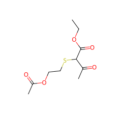 CCOC(=O)C(SCCOC(C)=O)C(C)=O